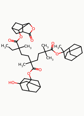 CCC(C)(CCC(C)(CCC(C)(C)C(=O)OC1(C)C2CC3CC(C2)CC1C3)C(=O)OC12CC3CC(CC(O)(C3)C1)C2)C(=O)OC1C2CC3C(=O)OC1C3C2